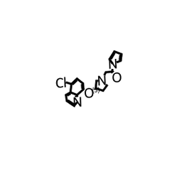 O=C(CN1CC[C@H](Oc2ccc(Cl)c3cccnc23)C1)n1cccc1